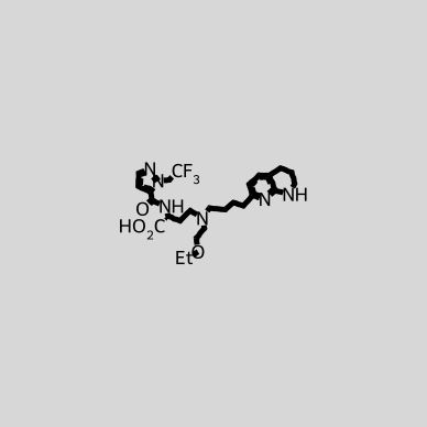 CCOCCN(CCCCc1ccc2c(n1)NCCC2)CC[C@H](NC(=O)c1ccnn1CC(F)(F)F)C(=O)O